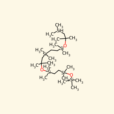 C[SiH](C)CC(C)(C)O[Si](C)(C)CC[Si](C)(C)CC(C)(C)O[Si](C)(C)CC[Si](C)(C)O[Si](C)(C)C